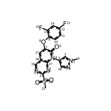 Cn1cc(-n2c(=O)c(Oc3ccc(F)cc3F)cc3cnc(S(C)(=O)=O)nc32)cn1